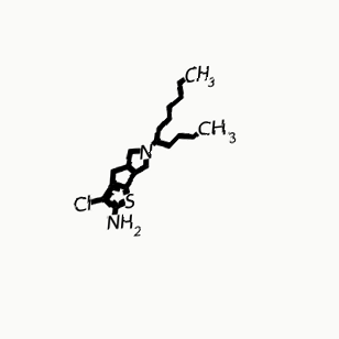 CCCCCCC(CCCC)N1CC2Cc3c(sc(N)c3Cl)C2C1